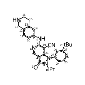 CC(C)n1c(=O)c2cnc(Nc3ccc4c(c3)CCNC4)c(C#N)c2n1-c1ccnc(C(C)(C)C)c1